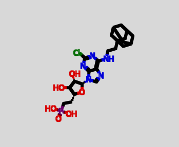 O=P(O)(O)CC[C@H]1O[C@@H](n2cnc3c(NCCC45CC6CC(CC(C6)C4)C5)nc(Cl)nc32)[C@@H](O)C1O